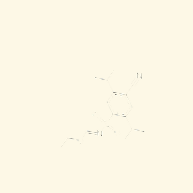 CCOC=NS(=O)(=O)c1cc(C(C)C)c(C#N)cc1C(C)C